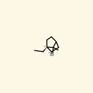 CC1(C)C2CC[C@@]1(CI)[C@H](O)C2